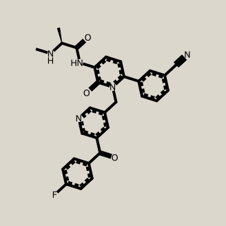 CN[C@@H](C)C(=O)Nc1ccc(-c2cccc(C#N)c2)n(Cc2cncc(C(=O)c3ccc(F)cc3)c2)c1=O